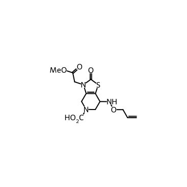 C=CCONC1CN(C(=O)O)Cc2c1sc(=O)n2CC(=O)OC